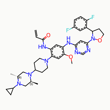 C=CC(=O)Nc1cc(Nc2cc(N3OCCC3c3cc(F)ccc3F)ncn2)c(OC)cc1N1CCC(N2C[C@@H](C)N(C3CC3)C[C@@H]2C)CC1